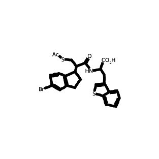 CC(=O)SCC(C(=O)NC(Cc1csc2ccccc12)C(=O)O)C1CCc2cc(Br)ccc21